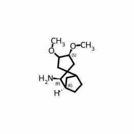 COC1CC2(C[C@@H]1OC)C1CC[C@H](C1)[C@H]2N